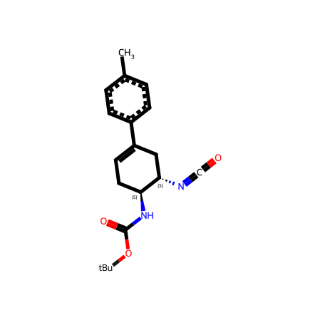 Cc1ccc(C2=CC[C@H](NC(=O)OC(C)(C)C)[C@@H](N=C=O)C2)cc1